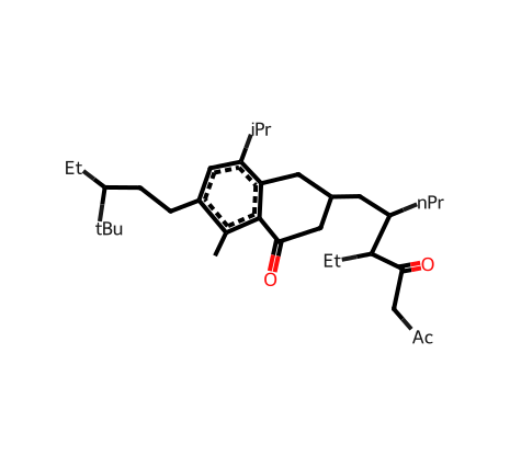 CCCC(CC1CC(=O)c2c(C)c(CCC(CC)C(C)(C)C)cc(C(C)C)c2C1)C(CC)C(=O)CC(C)=O